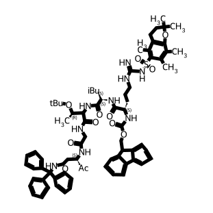 CC[C@H](C)[C@H](NC(=O)[C@H](CCCNC(=N)NS(=O)(=O)c1c(C)c(C)c2c(c1C)CCC(C)(C)O2)NC(=O)OCC1c2ccccc2-c2ccccc21)C(=O)NC(C(=O)NCC(=O)N[C@@H](CC(=O)NC(c1ccccc1)(c1ccccc1)c1ccccc1)C(C)=O)[C@@H](C)OC(C)(C)C